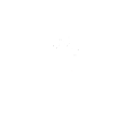 CC(COC(=O)Cc1ccccc1)[C@H]1CC[C@H]2[C@@H]3CCC4=CC(=O)CC[C@]4(C)[C@H]3CC[C@]12C